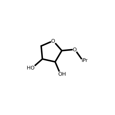 CC(C)OC1OCC(O)C1O